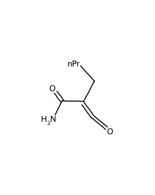 CCCCC(=C=O)C(N)=O